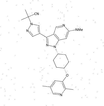 CNc1cc2c(cn1)c(-c1cnn(C(C)(C)C#N)c1)nn2[C@H]1CC[C@@H](Oc2cc(C)cnc2C)CC1